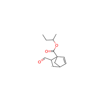 CCC(C)OC(=O)C12C=CC([CH]C1C=O)C2